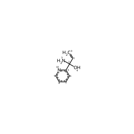 C=CC(N)(O)c1ccccn1